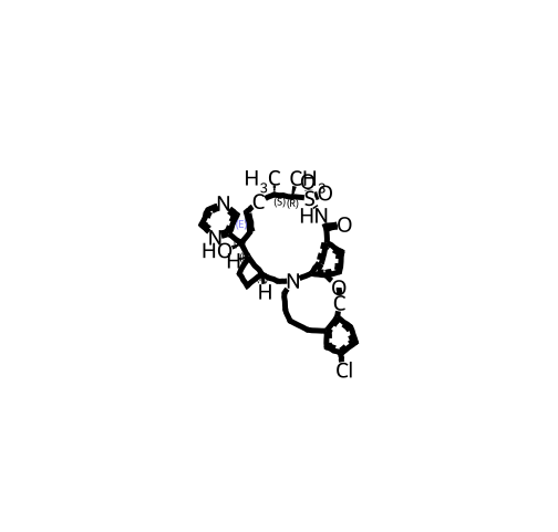 C[C@@H]1[C@@H](C)C/C=C/[C@@](O)(c2cnccn2)[C@@H]2CC[C@H]2CN2CCCCc3cc(Cl)ccc3COc3ccc(cc32)C(=O)NS1(=O)=O